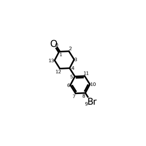 O=C1CCC(c2ccc(Br)cc2)CC1